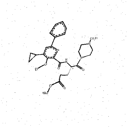 CCOC(=O)N1CCN(C(=O)[C@H](CCC(=O)OC(C)(C)C)NC(=O)c2nc(-c3ccccc3)cc(C3CC3)c2OCC)CC1